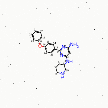 Nc1cc(NC2CCCNC2)nc(-c2ccc(Oc3ccccc3)cc2)n1